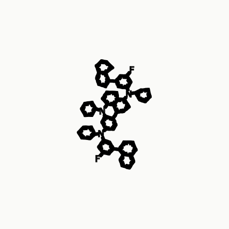 Fc1cc(-c2cccc3ccccc23)cc(N(c2ccccc2)c2ccc3c(c2)N(c2ccccc2)c2cccc4c(N(c5ccccc5)c5cc(F)cc(-c6cccc7ccccc67)c5)ccc-3c24)c1